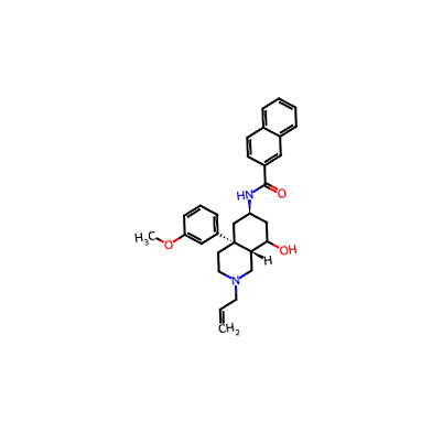 C=CCN1CC[C@@]2(c3cccc(OC)c3)C[C@@H](NC(=O)c3ccc4ccccc4c3)CC(O)[C@@H]2C1